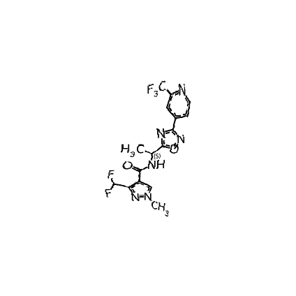 C[C@H](NC(=O)c1cn(C)nc1C(F)F)c1nc(-c2ccnc(C(F)(F)F)c2)no1